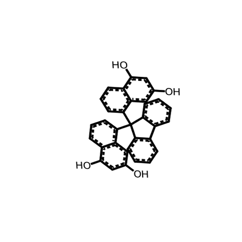 Oc1cc(O)c2cccc(C3(c4cccc5c(O)cc(O)cc45)c4ccccc4-c4ccccc43)c2c1